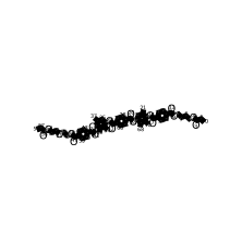 C=CC(=O)OCCCCOC(=O)C1CCC(C(=O)Oc2c(C)cc(OC(=O)C3CCC(C(=O)Oc4cc(C)c(OC(=O)C5CCC(C(=O)OCCOCCOC(=O)C=C)CC5)c(C)c4C)CC3)c(C)c2C)CC1